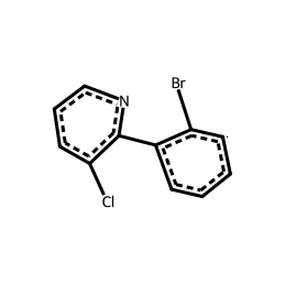 Clc1cccnc1-c1ccc[c]c1Br